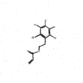 C=CC(=O)OCCc1c(Br)c(Br)c(Br)c(Br)c1Br